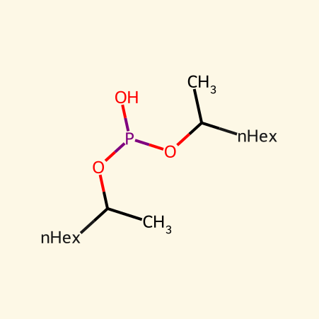 CCCCCCC(C)OP(O)OC(C)CCCCCC